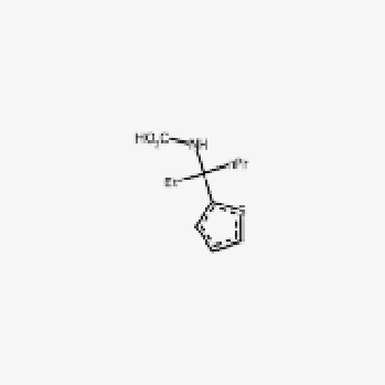 [CH2]CC(CCC)(NC(=O)O)c1cccs1